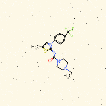 CCN1CCN(C(=O)N=c2sc(C)cn2-c2ccc(C(F)(F)F)cc2)CC1